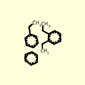 CCc1ccccc1.CCc1ccccc1CC.c1ccccc1